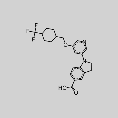 O=C(O)c1ccc2c(c1)CCN2c1cncc(OCC2CCC(C(F)(F)F)CC2)c1